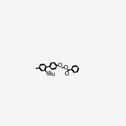 Cc1ccc(-c2ccc(OCOC(=O)c3ccccc3)cc2)c(C(C)(C)C)c1